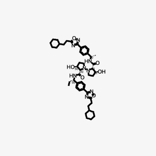 CC[C@H](NC(=O)[C@@H]1[C@@H](O)CCN1N1CC[C@H](O)[C@H]1C(=O)N[C@@H](C)c1ccc(-c2noc(CCC3CCCCC3)n2)cc1)c1ccc(-c2noc(CCC3CCCCC3)n2)cc1